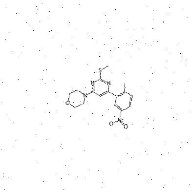 CSc1nc(-c2cc([N+](=O)[O-])ccc2C)cc(N2CCOCC2)n1